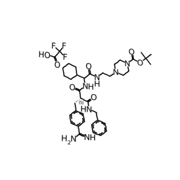 CC(C)(C)OC(=O)N1CCN(CCNC(=O)C(NC(=O)[C@@H](Cc2ccc(C(=N)N)cc2)C(=O)NCc2ccccc2)C2CCCCC2)CC1.O=C(O)C(F)(F)F